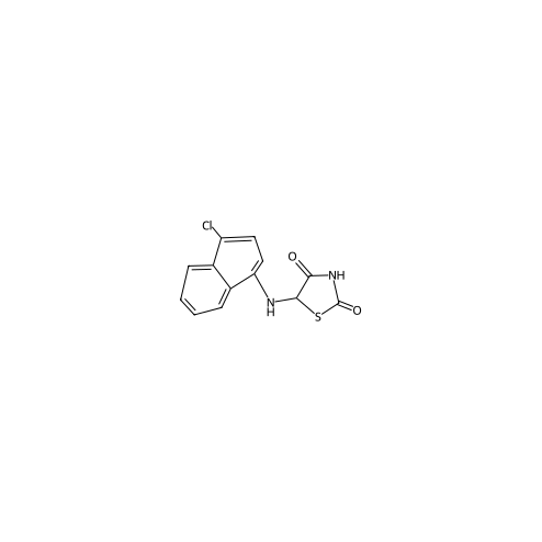 O=C1NC(=O)C(Nc2ccc(Cl)c3ccccc23)S1